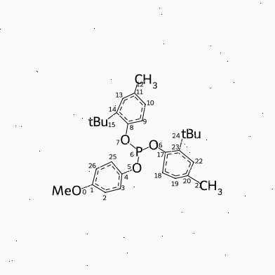 COc1ccc(OP(Oc2ccc(C)cc2C(C)(C)C)Oc2ccc(C)cc2C(C)(C)C)cc1